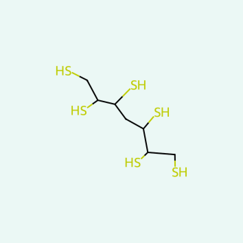 SCC(S)C(S)CC(S)C(S)CS